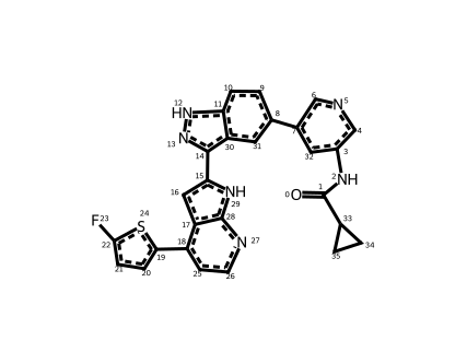 O=C(Nc1cncc(-c2ccc3[nH]nc(-c4cc5c(-c6ccc(F)s6)ccnc5[nH]4)c3c2)c1)C1CC1